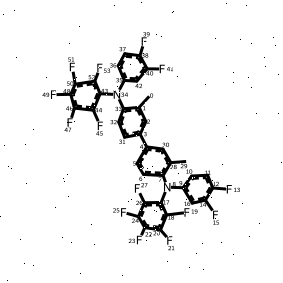 Cc1cc(-c2ccc(N(c3ccc(F)c(F)c3)c3c(F)c(F)c(F)c(F)c3F)c(C)c2)ccc1N(c1ccc(F)c(F)c1)c1c(F)c(F)c(F)c(F)c1F